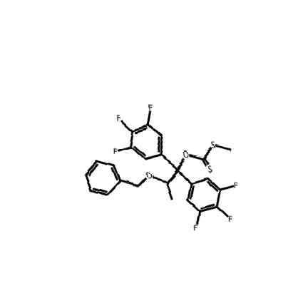 CSC(=S)OC(c1cc(F)c(F)c(F)c1)(c1cc(F)c(F)c(F)c1)C(C)OCc1ccccc1